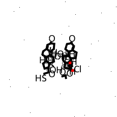 CC1(C)O[C@@H]2C[C@H]3[C@@H]4CCC5=CC(=O)CC[C@]5(C)[C@@]4(F)[C@@H](O)C[C@]3(C)[C@]2(C(=O)CCl)O1.C[C@]12CCC(=O)C=C1CC[C@@H]1[C@@H]2[C@@H](O)C[C@@]2(C)[C@H]1CC[C@]2(O)C(=O)CS